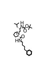 CC(C)C[C@@H](CN1CCC[C@H]1C(=O)NCCCCc1ccccc1)NC(=O)OC(C)(C)C